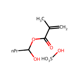 C=C(C)C(=O)OC(O)CCC.O=S(=O)(O)O